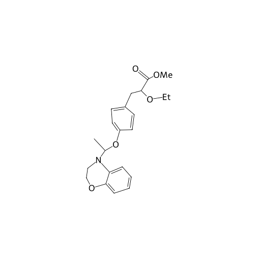 CCOC(Cc1ccc(OC(C)N2CCOc3ccccc32)cc1)C(=O)OC